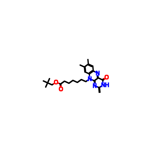 C=c1nc2c(c(=O)[nH]1)=Nc1cc(C)c(C)cc1N2CCCCCCC(=O)OCC(C)(C)C